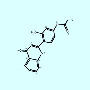 CC(=O)Oc1ccc(-c2nc(=O)c3ccccc3s2)c(C)c1